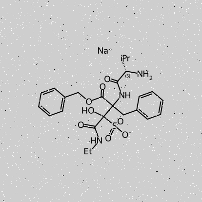 CCNC(=O)C(O)(C(Cc1ccccc1)(NC(=O)[C@@H](N)C(C)C)C(=O)OCc1ccccc1)S(=O)(=O)[O-].[Na+]